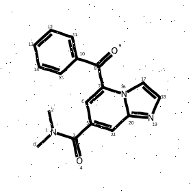 CN(C)C(=O)c1cc(C(=O)c2ccccc2)n2ccnc2c1